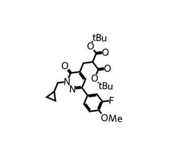 COc1ccc(-c2cc(CC(C(=O)OC(C)(C)C)C(=O)OC(C)(C)C)c(=O)n(CC3CC3)n2)cc1F